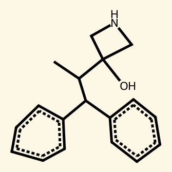 CC(C(c1ccccc1)c1ccccc1)C1(O)CNC1